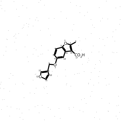 Cc1oc2ccc(OCc3ccoc3)cc2c1C(=O)O